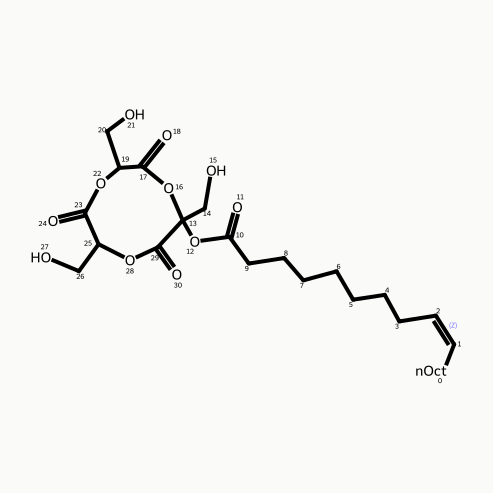 CCCCCCCC/C=C\CCCCCCCC(=O)OC1(CO)OC(=O)C(CO)OC(=O)C(CO)OC1=O